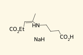 CCOC(=O)C=C(C)NCCCC(=O)O.[NaH]